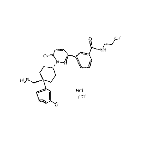 Cl.Cl.NC[C@]1(c2cccc(Cl)c2)CC[C@@H](n2nc(-c3cccc(C(=O)NCCO)c3)ccc2=O)CC1